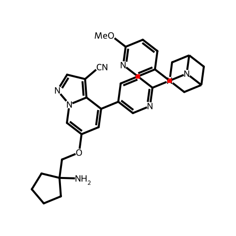 COc1ccc(CN2C3CC2CN(c2ccc(-c4cc(OCC5(N)CCCC5)cn5ncc(C#N)c45)cn2)C3)cn1